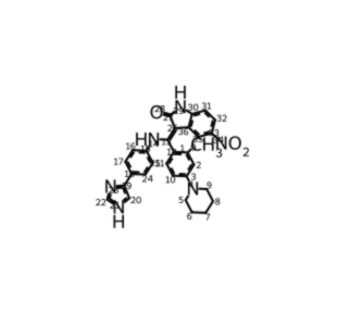 Cc1cc(N2CCCCC2)ccc1C(Nc1ccc(-c2c[nH]cn2)cc1)=C1C(=O)Nc2ccc([N+](=O)[O-])cc21